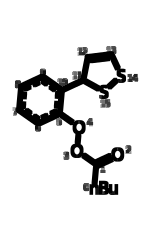 CCCCC(=O)OOc1ccccc1C1C=CSS1